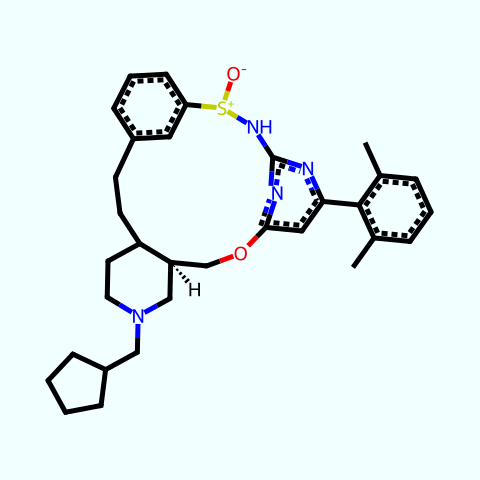 Cc1cccc(C)c1-c1cc2nc(n1)N[S+]([O-])c1cccc(c1)CCC1CCN(CC3CCCC3)C[C@@H]1CO2